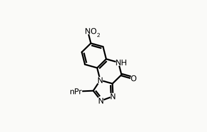 CCCc1nnc2c(=O)[nH]c3cc([N+](=O)[O-])ccc3n12